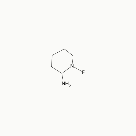 NC1CCCCN1F